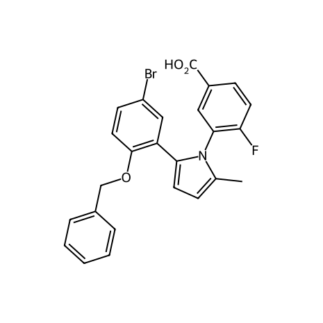 Cc1ccc(-c2cc(Br)ccc2OCc2ccccc2)n1-c1cc(C(=O)O)ccc1F